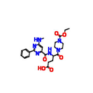 CCOC(=O)N1CCN(C(=O)C(CCC(=O)O)NC(=O)c2cc(NC)nc(-c3ccccc3)n2)CC1